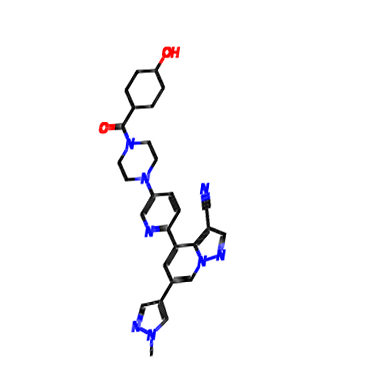 Cn1cc(-c2cc(-c3ccc(N4CCN(C(=O)C5CCC(O)CC5)CC4)cn3)c3c(C#N)cnn3c2)cn1